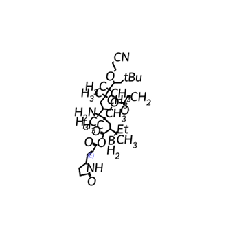 BC(C)(CC)C(CC(C)(C)C(C)(N)C(COC(=O)C=C)CC(C)(C)C(C)(C)C(CC(C)(C)C)OCCC#N)C(=O)OC(=O)/C=C/C1CCC(=O)N1